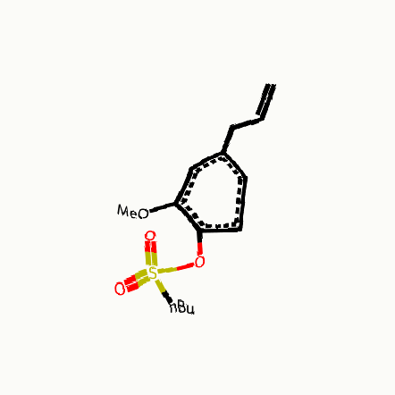 C=CCc1ccc(OS(=O)(=O)CCCC)c(OC)c1